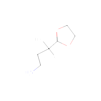 CC(C)(CCN)C1OCCO1